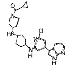 O=C(C1CC1)N1CCC(NC2CCC(Nc3cc(-c4c[nH]c5ncccc45)cc(Cl)n3)CC2)CC1